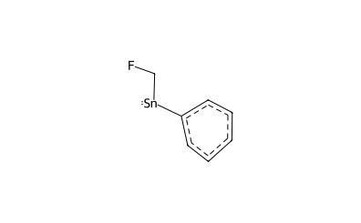 F[CH2][Sn][c]1ccccc1